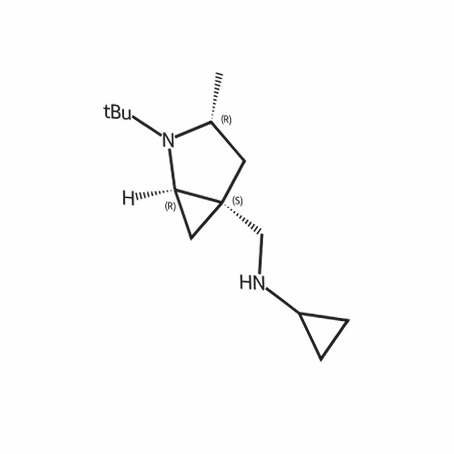 C[C@@H]1C[C@@]2(CNC3CC3)C[C@H]2N1C(C)(C)C